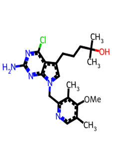 COc1c(C)cnc(Cn2cc(CCCC(C)(C)O)c3c(Cl)nc(N)nc32)c1C